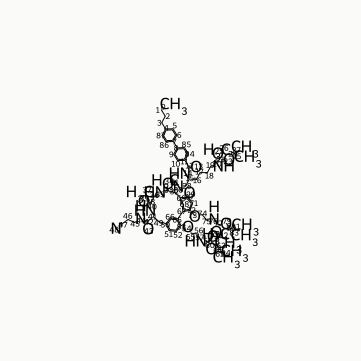 CCCCc1ccc(-c2ccc(C(=O)N[C@@H](CCCCNC(=O)OC(C)(C)C)C(=O)N(C)[C@@H]3C(=O)N[C@@H](C)C(=O)N[C@H](C(=O)NCCC#N)Cc4ccc(OCCNC(=O)OC(C)(C)C)c(c4)-c4cc3ccc4OCCNC(=O)OC(C)(C)C)cc2)cc1